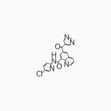 O=C(c1cncnc1)c1cc(C(=O)Nc2ccc(Cl)cn2)c2ncccc2c1